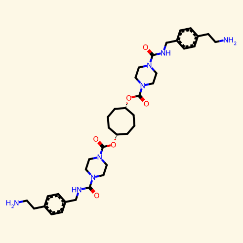 NCCc1ccc(CNC(=O)N2CCN(C(=O)O[C@H]3CCC[C@@H](OC(=O)N4CCN(C(=O)NCc5ccc(CCN)cc5)CC4)CCC3)CC2)cc1